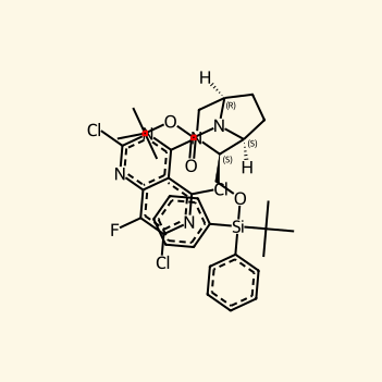 CC(C)(C)OC(=O)N1[C@@H]2CC[C@H]1[C@@H](CO[Si](c1ccccc1)(c1ccccc1)C(C)(C)C)N(c1nc(Cl)nc3c(F)c(Cl)nc(Cl)c13)C2